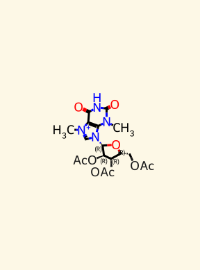 CC(=O)OC[C@H]1O[C@@H](n2c[n+](C)c3c(=O)[nH]c(=O)n(C)c32)[C@H](OC(C)=O)[C@@H]1OC(C)=O